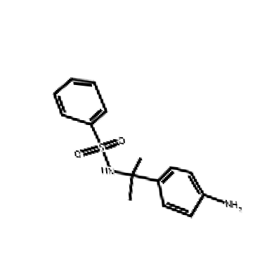 CC(C)(NS(=O)(=O)c1ccccc1)c1ccc(N)cc1